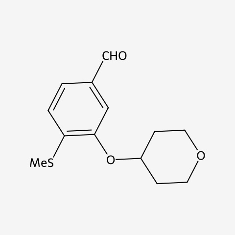 CSc1ccc(C=O)cc1OC1CCOCC1